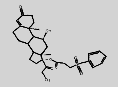 C[C@]12CCC(=O)C=C1CCC1C2[C@@H](O)C[C@@]2(C)C1CC[C@]2(OC(=O)CCS(=O)(=O)c1ccccc1)C(=O)CO